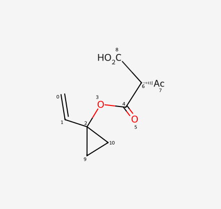 C=CC1(OC(=O)[C@@H](C(C)=O)C(=O)O)CC1